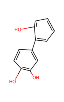 Oc1ccc(-c2ccccc2O)cc1O